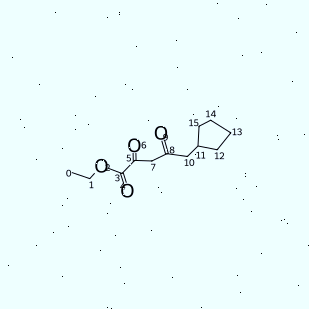 CCOC(=O)C(=O)CC(=O)CC1CCCC1